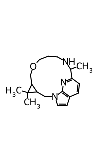 CC1NCCCOCC2C(Cn3ccc4ccc1nc43)C2(C)C